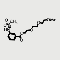 COCCOCCOCCOC(=O)c1cccc(NOS(C)(=O)=O)c1